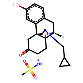 CS(=O)(=O)N[C@H]1C[C@@]2(O)[C@H]3Cc4ccc(O)cc4[C@@]2(CCN3CC2CC2)CC1=O